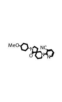 CO[C@H]1CC[C@H](N2CCC3(CCCN(c4ncccc4C#N)C3)C2=O)CC1